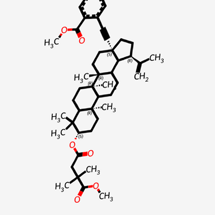 C=C(C)[C@@H]1CC[C@]2(C#Cc3ccccc3C(=O)OC)CC[C@]3(C)C(CCC4[C@@]5(C)CC[C@H](OC(=O)CC(C)(C)C(=O)OC)C(C)(C)C5CC[C@]43C)C12